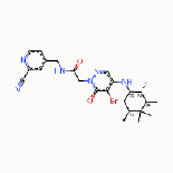 C[C@@H]1[C@@H](C)C(C)(C)[C@@H](C)C[C@H]1Nc1cnn(CC(=O)NCc2ccnc(C#N)c2)c(=O)c1Br